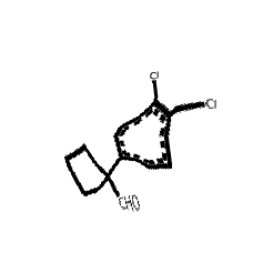 O=CC1(c2ccc(Cl)c(Cl)c2)CCC1